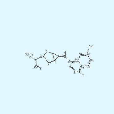 CC(C(=O)O)N1CC2C(C1)C2Nc1ccnc2ccc(F)cc12